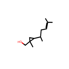 CC(C)=CCC(C)C1CC1(C)CO